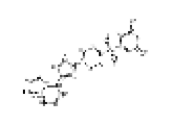 O=S(=O)(c1cc(F)cc(F)c1)N1CCC(n2cc(-c3ncnc4[nH]ccc34)cn2)CC1